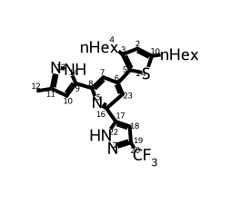 CCCCCCc1cc(CCCCCC)c(-c2cc(-c3cc(C)n[nH]3)nc(-c3cc(C(F)(F)F)n[nH]3)c2)s1